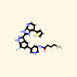 CCCCC(=O)Nc1cncc(-c2cc(F)c3[nH]nc(-c4nc5c(-c6cccs6)ccnc5[nH]4)c3c2)c1